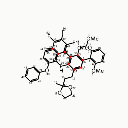 COCOc1c(-c2c(OC)cccc2OC)cc(CCC2(C)OCCO2)c(Pc2c(Oc3ccccc3)cccc2Oc2ccccc2)c1-c1c(F)c(F)c(F)c(F)c1F